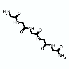 NCC(=O)NCC(=O)NCC(=O)NCC(=O)NCC(N)=O